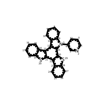 c1cncc(-n2c3ccccc3c3c4c5ccccc5sc4c4c5ccccc5sc4c32)c1